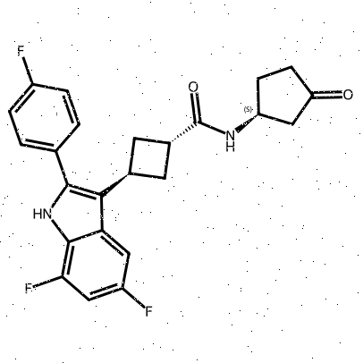 O=C1CC[C@H](NC(=O)[C@H]2C[C@H](c3c(-c4ccc(F)cc4)[nH]c4c(F)cc(F)cc43)C2)C1